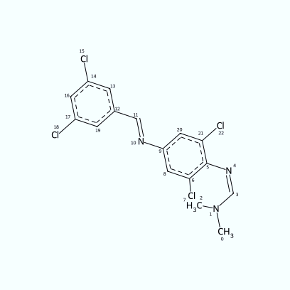 CN(C)/C=N\c1c(Cl)cc(/N=C/c2cc(Cl)cc(Cl)c2)cc1Cl